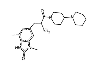 Cc1cc(CC(N)C(=O)N2CCC(N3CCCCC3)CC2)cc2c1[nH]c(=O)n2C